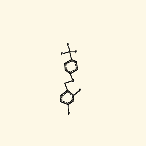 Fc1ccc(COc2ccc(C(F)(F)F)cc2)c(F)c1